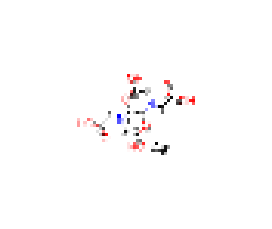 O=C(O)CN(CCN(CC(=O)O)CC(=O)O)CC(=O)O.[Ag]